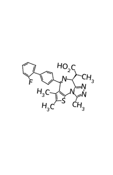 Cc1sc2c(c1C)C(c1ccc(-c3ccccc3F)cc1)=N[C@@H](C(C)C(=O)O)c1nnc(C)n1-2